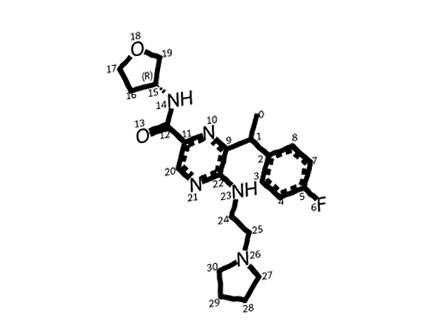 CC(c1ccc(F)cc1)c1nc(C(=O)N[C@@H]2CCOC2)cnc1NCCN1CCCC1